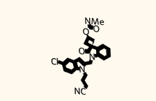 CNC(=O)O[C@H]1C[C@@]2(C1)C(=O)N(Cc1cc3cc(Cl)ccc3n1CCCC#N)c1ccccc12